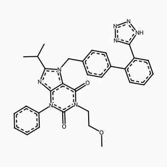 COCCn1c(=O)c2c(nc(C(C)C)n2Cc2ccc(-c3ccccc3-c3nnn[nH]3)cc2)n(-c2ccccc2)c1=O